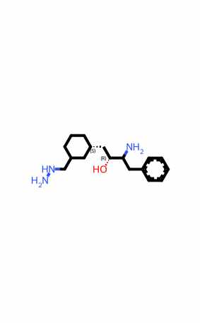 NNCC1CCC[C@H](C[C@@H](O)C(N)Cc2ccccc2)C1